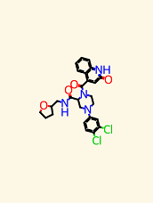 O=C(NCC1CCCO1)C1CN(c2ccc(Cl)c(Cl)c2)CCN1C(=O)c1cc(=O)[nH]c2ccccc12